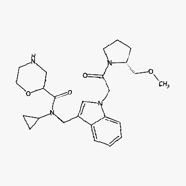 COC[C@H]1CCCN1C(=O)Cn1cc(CN(C(=O)C2CNCCO2)C2CC2)c2ccccc21